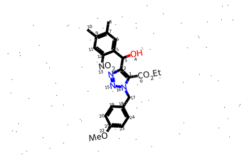 CCOC(=O)c1c(C(O)c2cc(C)c(C)cc2[N+](=O)[O-])nnn1Cc1ccc(OC)cc1